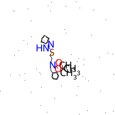 CC(C)(C)OC(=O)N(CCCSc1nc2ccccc2[nH]1)Cc1ccccc1